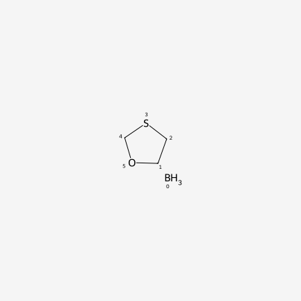 B.C1CSCO1